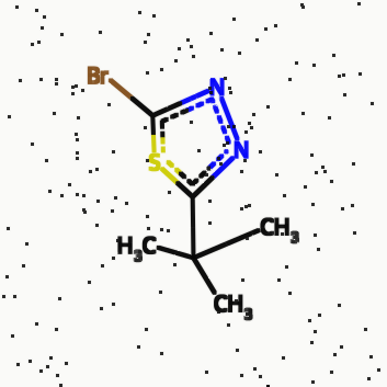 CC(C)(C)c1nnc(Br)s1